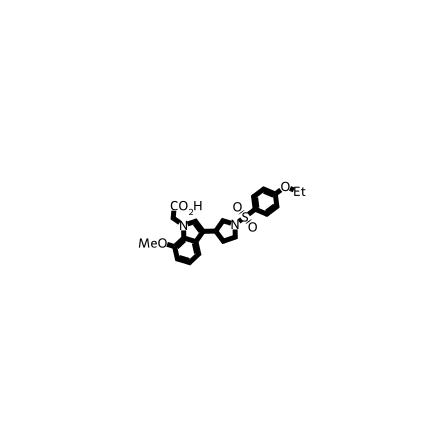 CCOc1ccc(S(=O)(=O)N2CCC(c3cn(CC(=O)O)c4c(OC)cccc34)C2)cc1